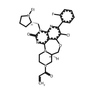 C=CC(=O)N1CCN2c3nc(=O)n(C[C@@H]4CCCN4CC)c4nc(-c5ccccc5F)c(Cl)c(c34)OC[C@H]2C1